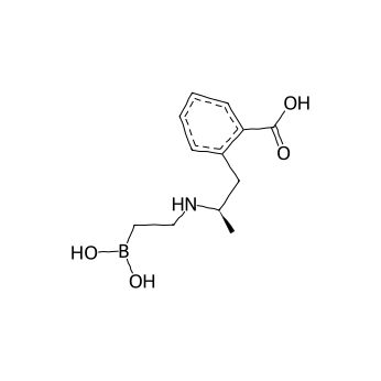 C[C@H](Cc1ccccc1C(=O)O)NCCB(O)O